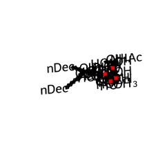 CCCCCCCCCCCCC/C=C/[C@@H](O)[C@H](CO[C@@H]1OC(CO)[C@@H](O[C@@H]2OC(CO)[C@H](O[C@@H]3OC(CO)[C@H](O[C@H]4OC(C)[C@@H](O)C(O)[C@@H]4O)[C@H](O[C@@H]4OC(CO)[C@H](O)[C@H](O[C@]5(C(=O)O)CC(O)[C@@H](NC(C)=O)C([C@H](O)[C@H](O)CO)O5)C4O)C3NC(C)=O)[C@H](O)C2O)[C@H](O)C1O)NC(=O)CCCCCCCCCCCCCCCCCCC